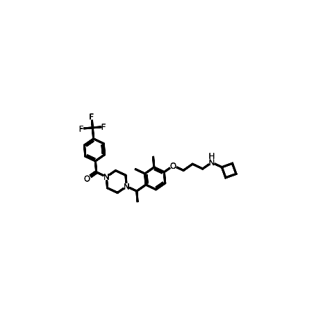 Cc1c(OCCCNC2CCC2)ccc(C(C)N2CCN(C(=O)c3ccc(C(F)(F)F)cc3)CC2)c1C